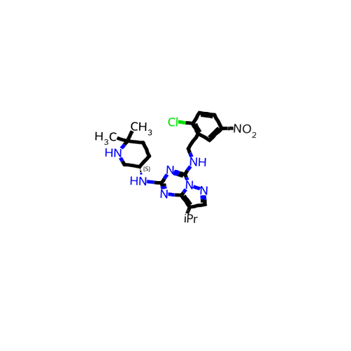 CC(C)c1cnn2c(NCc3cc([N+](=O)[O-])ccc3Cl)nc(N[C@H]3CCC(C)(C)NC3)nc12